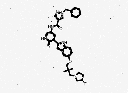 CC(C)(COc1ccc2[nH]c(-c3cc(NC(=O)c4cnn(Cc5ccccc5)c4)c[nH]c3=O)cc2c1)CN1CC[C@@H](F)C1